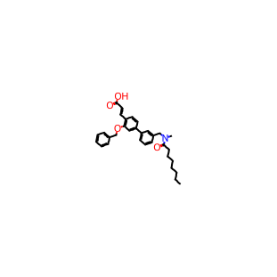 CCCCCCCC(=O)N(C)Cc1cccc(-c2ccc(C=CC(=O)O)c(OCc3ccccc3)c2)c1